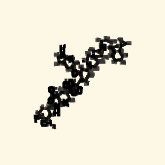 CC1(F)CCC(CNc2ncc(S(=O)(=O)NC(=O)c3ccc(N4CCC5(CC4)CC(N4CCC[C@H]4c4ccccc4C4CC4)C5)cc3Oc3cnc4[nH]ccc4c3)cc2[N+](=O)[O-])CC1